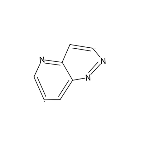 [c]1cnc2c[c]nnc2c1